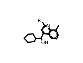 Cc1cccc2c(C(O)C3CCCCC3)cc(Br)nc12